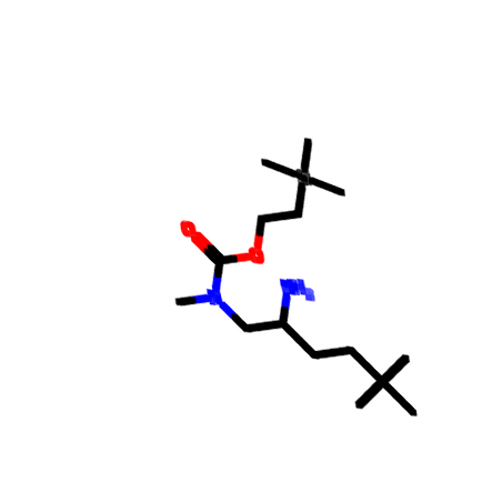 CN(CC(N)CCC(C)(C)C)C(=O)OCC[Si](C)(C)C